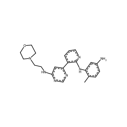 Cc1ccc(N)cc1Nc1ncccc1-c1cc(NCCN2CCOCC2)ncn1